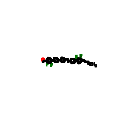 C/C=C/CCc1ccc(C2CCC(CCC3CCC(C4CCC(c5ccc(C6CO6)c(F)c5F)CC4)CC3)CC2)c(F)c1F